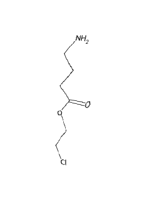 NCCCC(=O)OCCCl